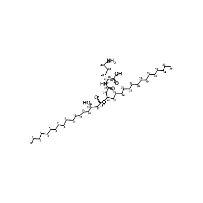 CCCCCCCCCCCCCCCC(O)CC(=O)OC(CCCCCCCCCCCCCCC)CC(=O)N[C@H](CCCN)C(=O)O